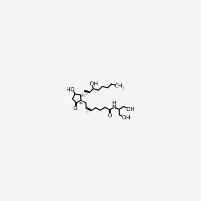 CCCCCC(O)/C=C/[C@H]1C(O)CC(=O)[C@@H]1C/C=C\CCCC(=O)NC(CO)CO